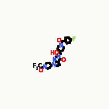 O=C(c1ccc(F)cc1)N1CCC(O)(Cn2cnc3c(ccn3C3CCN(C(=O)C(F)(F)F)CC3)c2=O)CC1